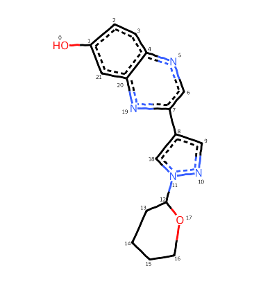 Oc1ccc2ncc(-c3cnn(C4CCCCO4)c3)nc2c1